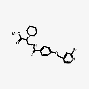 COC(=O)C(CNC(=O)c1ccc(OCc2ccnc(Br)c2)cc1)N1CCCCC1